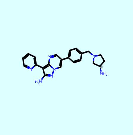 Nc1nn2cc(-c3ccc(CN4CC[C@@H](N)C4)cc3)cnc2c1-c1ccccn1